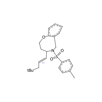 Cc1ccc(S(=O)(=O)N2Cc3ccccc3OCCC2/C=C/CC(C)(C)C)cc1